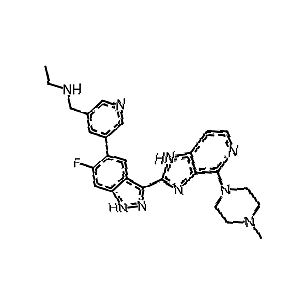 CCNCc1cncc(-c2cc3c(-c4nc5c(N6CCN(C)CC6)nccc5[nH]4)n[nH]c3cc2F)c1